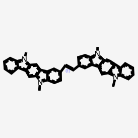 Cn1c2ccccc2c2cc3c(cc21)c1cc(/C=C/c2ccc4c(c2)c2cc5c(cc2n4C)c2ccccc2n5C)ccc1n3C